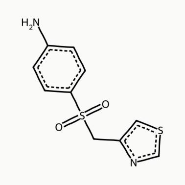 Nc1ccc(S(=O)(=O)Cc2cscn2)cc1